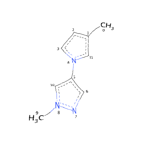 Cc1ccn(-c2cnn(C)c2)c1